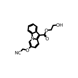 N#CCOc1ccc2c(C(=O)OCCO)c3ccccc3n2c1